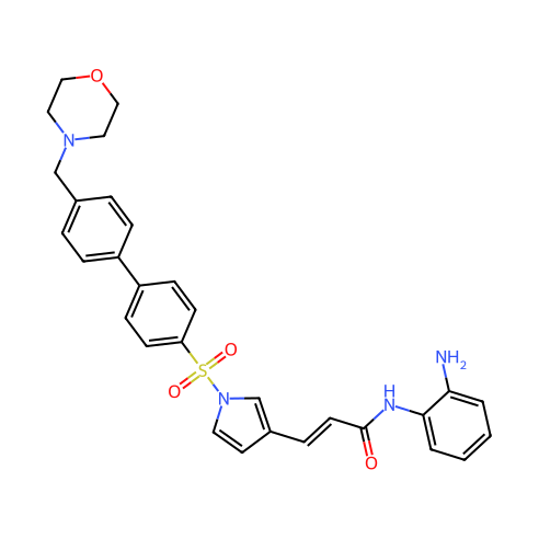 Nc1ccccc1NC(=O)/C=C/c1ccn(S(=O)(=O)c2ccc(-c3ccc(CN4CCOCC4)cc3)cc2)c1